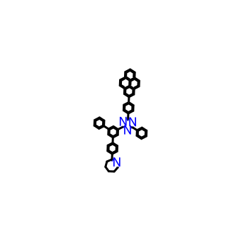 c1ccc(-c2cc(-c3ccc(C4=NCCCCC4)cc3)cc(-c3nc(-c4ccccc4)nc(-c4ccc(-c5cc6ccc7cccc8ccc(c5)c6c78)cc4)n3)c2)cc1